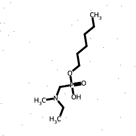 CCCCCCOP(=O)(O)CN(C)CC